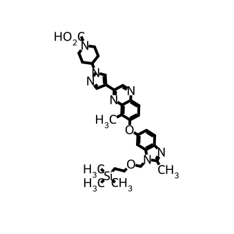 Cc1c(Oc2ccc3nc(C)n(COCC[Si](C)(C)C)c3c2)ccc2ncc(-c3cnn(C4CCN(C(=O)O)CC4)c3)nc12